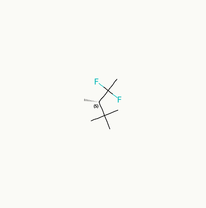 C[C@@H](C(C)(C)C)C(C)(F)F